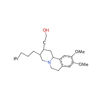 COc1cc2c(cc1OC)C1CC(CCO)C(CCCC(C)C)CN1CC2